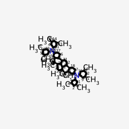 Cc1cc(C)cc(N(c2cc(C)cc(C)c2)c2ccc3c(c2)C(C)(C)c2ccc4c5c(ccc-3c25)-c2ccc(N(c3cc(C)cc(C)c3)c3cc(C)cc(C)c3)cc2C4(C)C)c1